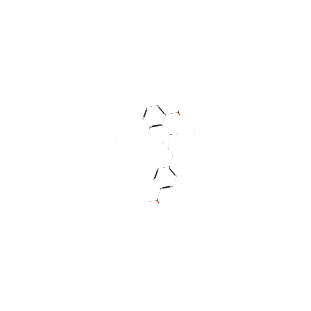 COc1cccc(C(=O)O)c1C(O)NCc1ccc(C(=O)O)cc1